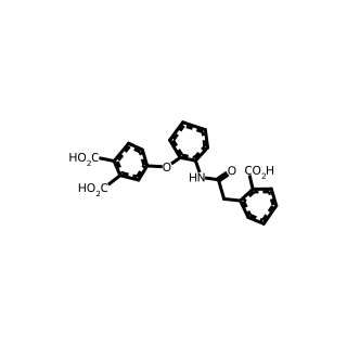 O=C(Cc1ccccc1C(=O)O)Nc1ccccc1Oc1ccc(C(=O)O)c(C(=O)O)c1